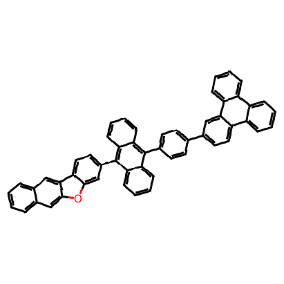 c1ccc2cc3c(cc2c1)oc1cc(-c2c4ccccc4c(-c4ccc(-c5ccc6c7ccccc7c7ccccc7c6c5)cc4)c4ccccc24)ccc13